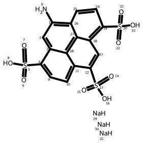 Nc1cc2c(S(=O)(=O)O)ccc3c(S(=O)(=O)O)cc4c(S(=O)(=O)O)ccc1c4c32.[NaH].[NaH].[NaH]